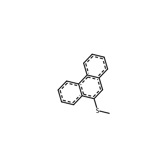 CSc1cc2ccccc2c2ccccc12